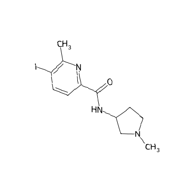 Cc1nc(C(=O)NC2CCN(C)C2)ccc1I